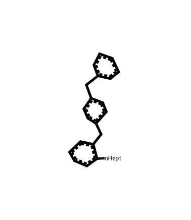 CCCCCCCc1ccccc1Cc1ccc(Cc2ccccc2)cc1